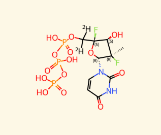 [2H]C([2H])(OP(=O)(O)OP(=O)(O)OP(=O)(O)O)[C@@]1(F)O[C@@H](n2ccc(=O)[nH]c2=O)[C@](C)(F)[C@@H]1O